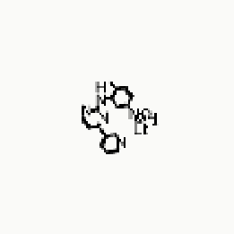 CCO.Cc1ccc([N+](=O)[O-])cc1Nc1nccc(-c2cccnc2)n1